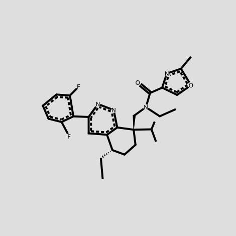 CC[C@H]1CC[C@@](CN(CC)C(=O)c2coc(C)n2)(C(C)C)c2nnc(-c3c(F)cccc3F)cc21